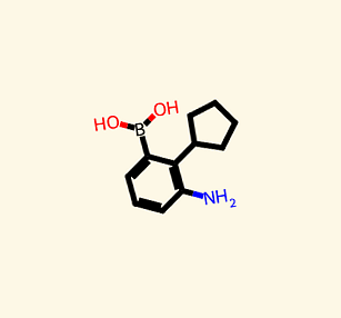 Nc1cccc(B(O)O)c1C1CCCC1